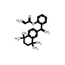 C=CC(=O)Oc1ccccc1C(=C)c1ccc2c(c1)C(C)(C)CCC2(C)C